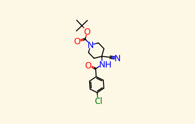 CC(C)(C)OC(=O)N1CCC(C#N)(NC(=O)c2ccc(Cl)cc2)CC1